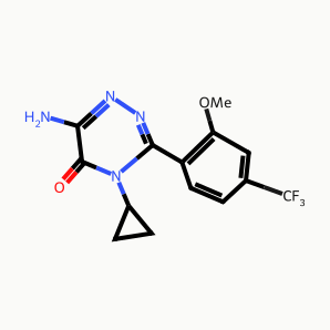 COc1cc(C(F)(F)F)ccc1-c1nnc(N)c(=O)n1C1CC1